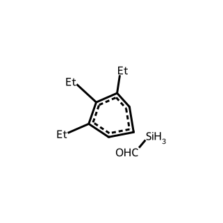 CCc1cccc(CC)c1CC.O=C[SiH3]